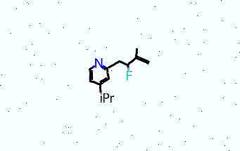 C=C(C)C(F)Cc1cc(C(C)C)ccn1